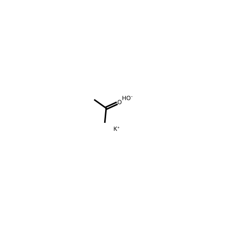 CC(C)=O.[K+].[OH-]